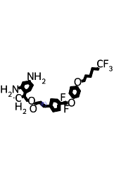 [CH2]C(COC(=O)/C=C/c1ccc(C(F)(F)Oc2ccc(OCCCCCC(F)(F)F)cc2)cc1)c1ccc(N)cc1N